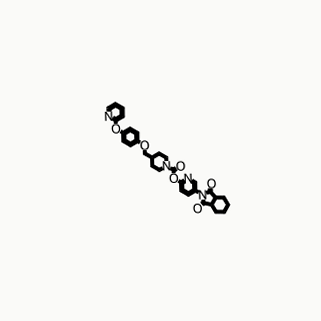 O=C(Oc1ccc(N2C(=O)C3CCCCC3C2=O)cn1)N1CCC(COc2ccc(Oc3ccccn3)cc2)CC1